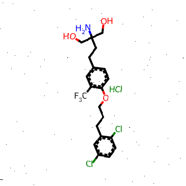 Cl.NC(CO)(CO)CCc1ccc(OCCCc2cc(Cl)ccc2Cl)c(C(F)(F)F)c1